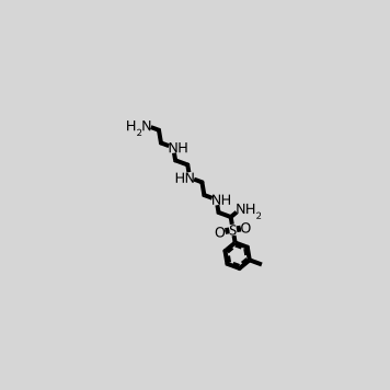 Cc1cccc(S(=O)(=O)C(N)CNCCNCCNCCN)c1